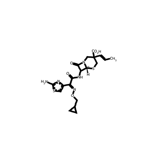 CC=CC1(C(=O)O)CS[C@@H]2C(NC(=O)C(=NOCC3CC3)c3csc(N)n3)C(=O)N2C1